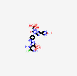 N=C1/C(Cl)=C\NOC(O)(O)c2cnc(N[C@H]3CC[C@H](N(C(=O)NCC(O)(O)O)c4cnc(-c5cnc(O)nc5)cn4)CC3)nc21